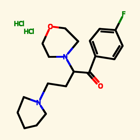 Cl.Cl.O=C(c1ccc(F)cc1)C(CCN1CCCCC1)N1CCOCC1